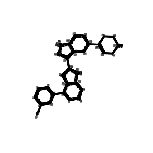 Fc1cccc(-c2cncc3[nH]c(-c4n[nH]c5ccc(C6=CCNCC6)cc45)cc23)c1